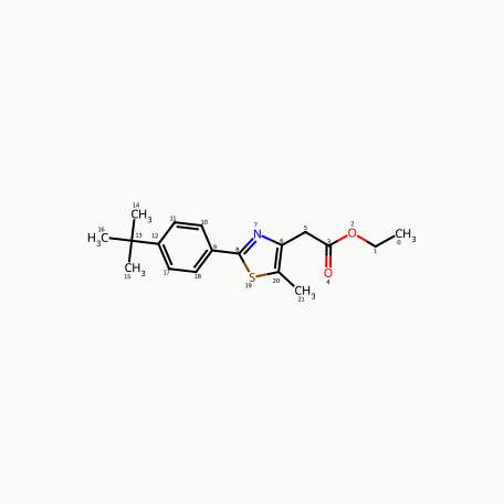 CCOC(=O)Cc1nc(-c2ccc(C(C)(C)C)cc2)sc1C